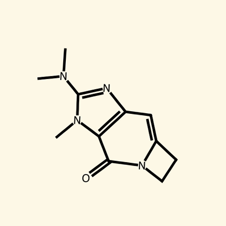 CN(C)c1nc2cc3n(c(=O)c2n1C)CC3